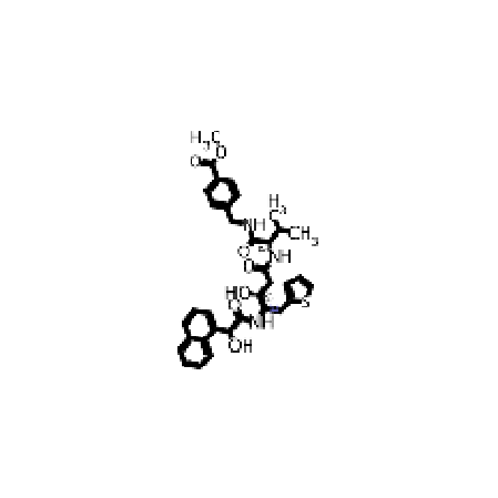 COC(=O)c1ccc(CNC(=O)[C@@H](NC(=O)C[C@H](O)/C(=C\c2cccs2)NC(=O)C(O)c2cccc3ccccc23)C(C)C)cc1